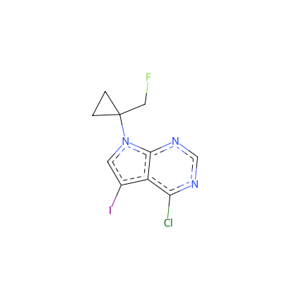 FCC1(n2cc(I)c3c(Cl)ncnc32)CC1